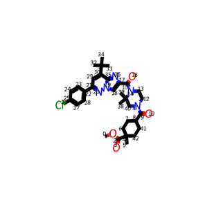 COC(=O)C1(C)CCC(C(=O)N2CCN(C(=O)c3cn4nc(-c5ccc(Cl)cc5)cc(C(C)(C)C)c4n3)C(C)(C)C2)CC1